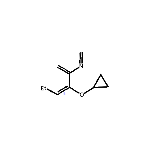 C=NC(=C)/C(=C\CC)OC1CC1